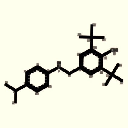 CC(C)c1ccc(NCc2cc(C(C)(C)C)c(O)c(C(C)(C)C)c2)cc1